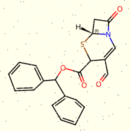 O=CC1=CN2C(=O)C[C@H]2SC1C(=O)OC(c1ccccc1)c1ccccc1